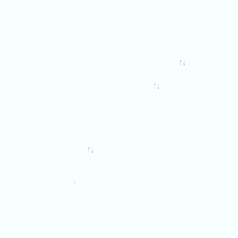 CC(=O)N1Cc2ccc(-n3ccnc3)cc2C1